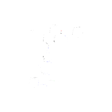 COc1c(C(=O)NC2CCCC2)cc(-n2cnc(Nc3nc(Cl)nn4cccc34)c2)c(C)c1OC